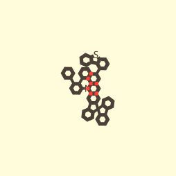 c1ccc(-c2ccccc2-c2c(-c3ccccc3)cccc2N(c2ccc(-c3cccc4sc5ccccc5c34)cc2)c2ccc3c(c2)-c2ccccc2C32c3ccccc3-c3ccccc32)cc1